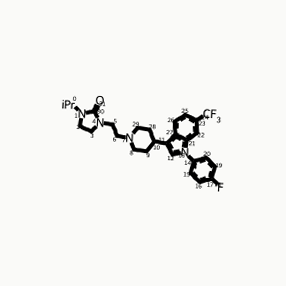 CC(C)N1CCN(CCN2CCC(c3cn(-c4ccc(F)cc4)c4cc(C(F)(F)F)ccc34)CC2)C1=O